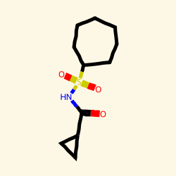 O=C(NS(=O)(=O)C1CCCCCC1)C1CC1